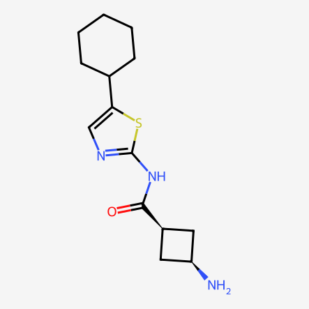 N[C@H]1C[C@@H](C(=O)Nc2ncc(C3CCCCC3)s2)C1